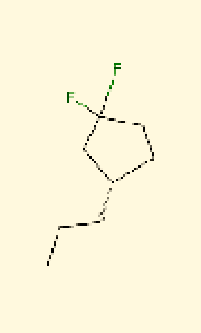 CCC[C@H]1CCC(F)(F)C1